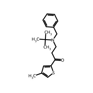 Cc1csc(C(=O)CCN(Cc2ccccc2)C(C)(C)C)c1